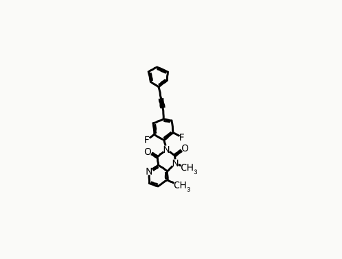 Cc1ccnc2c(=O)n(-c3c(F)cc(C#Cc4ccccc4)cc3F)c(=O)n(C)c12